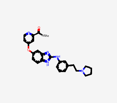 CNC(=O)c1cc(Oc2ccc3[nH]c(Nc4cccc(CCN5CCCC5)c4)nc3c2)ccn1